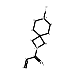 C=CC(=O)N1CC2(CCN(I)CC2)C1